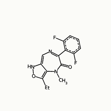 CCC1=C2C(=CN=C(c3c(F)cccc3F)C(=O)N2C)NO1